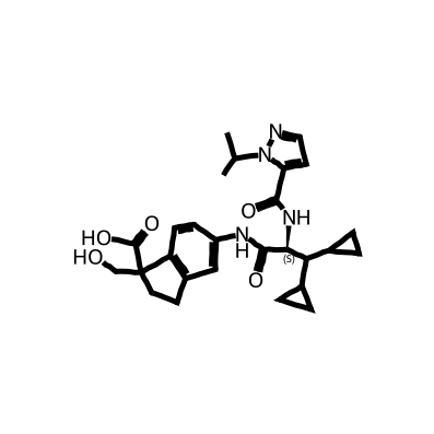 CC(C)n1nccc1C(=O)N[C@H](C(=O)Nc1ccc2c(c1)CCC2(CO)C(=O)O)C(C1CC1)C1CC1